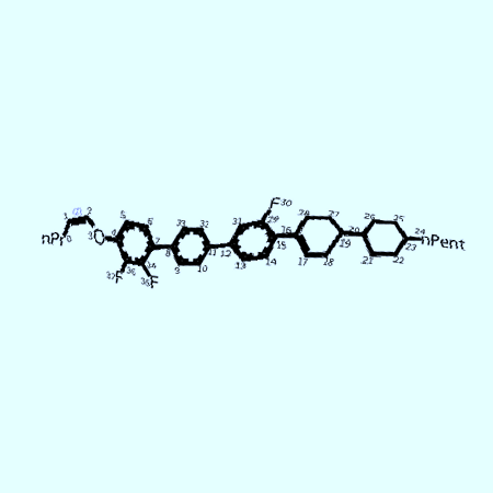 CCC/C=C\Oc1ccc(-c2ccc(-c3ccc(C4=CCC(C5CCC(CCCCC)CC5)CC4)c(F)c3)cc2)c(F)c1F